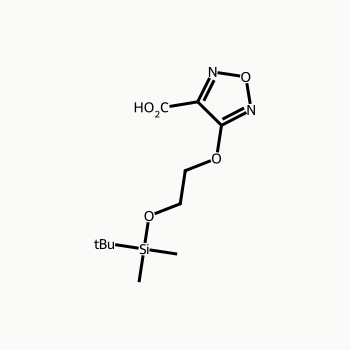 CC(C)(C)[Si](C)(C)OCCOc1nonc1C(=O)O